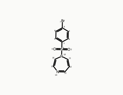 O=S(=O)(c1ccc(Br)cc1)N1C=CC=NC=C1